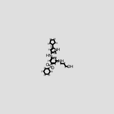 O=S(=O)(c1cc(NCCCO)nc(Nc2cc(C3CCCC3)[nH]n2)c1)C1CCCCC1